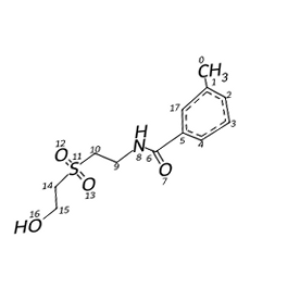 Cc1cccc(C(=O)NCCS(=O)(=O)CCO)c1